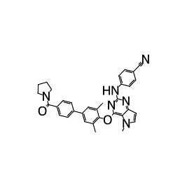 Cc1cc(-c2ccc(C(=O)N3CCCC3)cc2)cc(C)c1Oc1nc(Nc2ccc(C#N)cc2)nc2ccn(C)c12